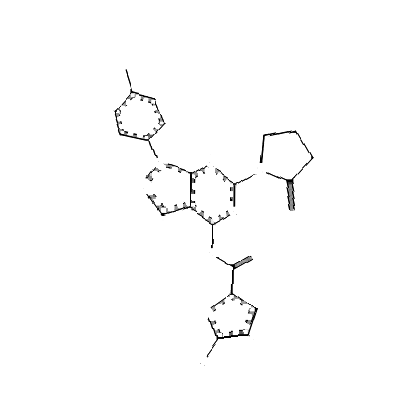 C=C1CCCN1c1nc(NC(=O)c2ccc([N+](=O)[O-])s2)c2cnn(-c3ccc(C(C)(C)C)cc3)c2n1